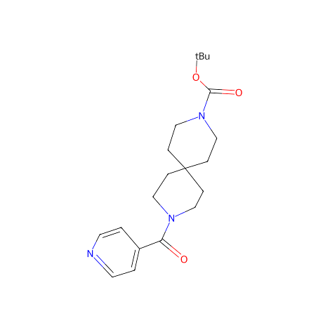 CC(C)(C)OC(=O)N1CCC2(CC1)CCN(C(=O)c1ccncc1)CC2